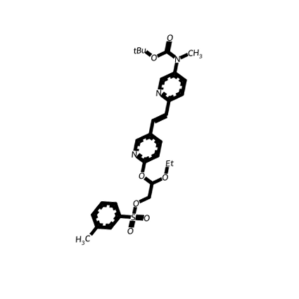 CCOC(COS(=O)(=O)c1cccc(C)c1)Oc1ccc(C=Cc2ccc(N(C)C(=O)OC(C)(C)C)cn2)cn1